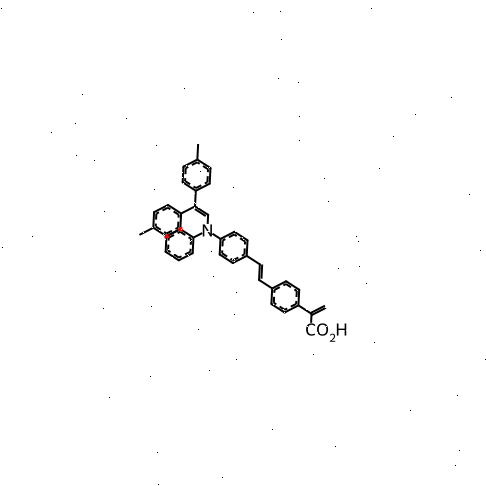 C=C(C(=O)O)c1ccc(C=Cc2ccc(N(C=C(c3ccc(C)cc3)c3ccc(C)cc3)c3ccccc3)cc2)cc1